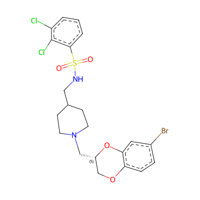 O=S(=O)(NCC1CCN(C[C@H]2COc3ccc(Br)cc3O2)CC1)c1cccc(Cl)c1Cl